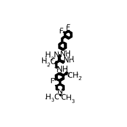 C=Cc1cc(C2CCN(C(C)C)CC2)c(F)cc1NCC(=C)/C(C=N)=C(\N)Nc1ccc(Cc2cccc(F)c2F)cc1